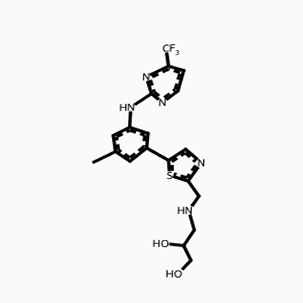 Cc1cc(Nc2nccc(C(F)(F)F)n2)cc(-c2cnc(CNCC(O)CO)s2)c1